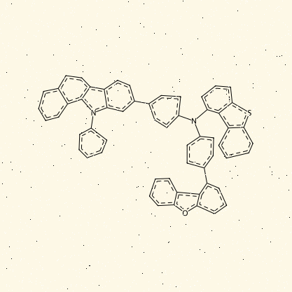 c1ccc(-n2c3cc(-c4ccc(N(c5ccc(-c6cccc7oc8ccccc8c67)cc5)c5cccc6sc7ccccc7c56)cc4)ccc3c3ccc4ccccc4c32)cc1